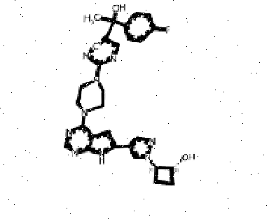 CC(O)(c1ccc(F)cc1)c1cnc(N2CCN(c3ncnc4[nH]c(-c5cnn([C@@H]6CC[C@H]6O)c5)cc34)CC2)nc1